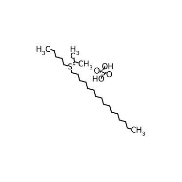 CCCCCCCCCCCCCCCC[S+](CCCCC)C(C)C.O=S(=O)(O)O